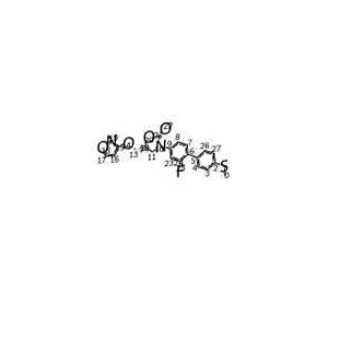 CSc1ccc(-c2ccc(N3C[C@H](COc4ccon4)OC3=O)cc2F)cc1